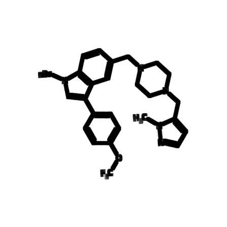 CCCCn1cc(-c2ccc(OC(F)(F)F)cc2)c2cc(CN3CCN(Cc4ccnn4C)CC3)ccc21